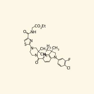 CCOC(=O)CNC(=O)c1csc(N2CCN(C(=O)c3ccc4c(n3)C(C)(C)CN4c3ccc(Cl)c(F)c3)C(C)(C)C2)n1